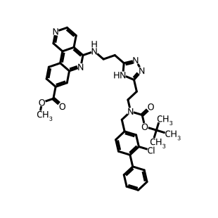 COC(=O)c1ccc2c(c1)nc(NCCc1nnc(CCN(Cc3ccc(-c4ccccc4)c(Cl)c3)C(=O)OC(C)(C)C)[nH]1)c1ccncc12